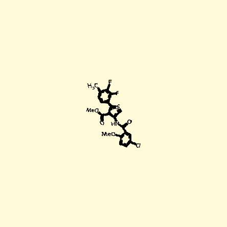 COC(=O)c1c(NC(=O)c2cc(Cl)ccc2OC)csc1-c1ccc(C)c(F)c1F